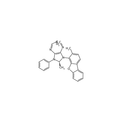 C=NC1=C(/N=C\C)N(c2ccccc2)[C@H](C)N1c1c(C)ccc2c1oc1ccccc12